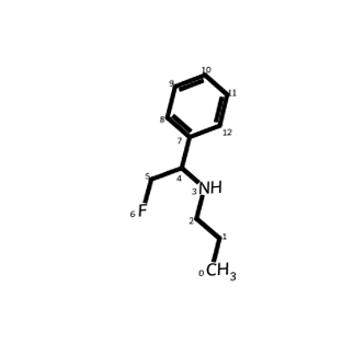 CCCNC(CF)c1ccccc1